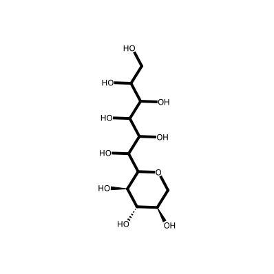 OCC(O)C(O)C(O)C(O)C(O)C1OC[C@@H](O)[C@H](O)[C@H]1O